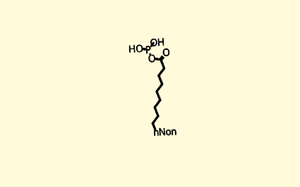 CCCCCCCCCCCCCCCCCC(=O)OP(O)O